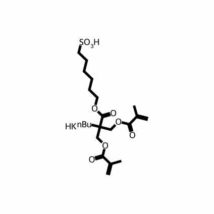 C=C(C)C(=O)OCC(CCCC)(COC(=O)C(=C)C)C(=O)OCCCCCCS(=O)(=O)O.[KH]